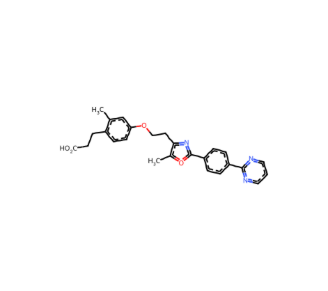 Cc1cc(OCCc2nc(-c3ccc(-c4ncccn4)cc3)oc2C)ccc1CCC(=O)O